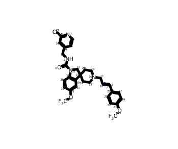 O=C(NCc1ccnc(Cl)c1)N1CC2(CCN(C/C=C/c3ccc(OC(F)(F)F)cc3)CC2)c2cc(OC(F)(F)F)ccc21